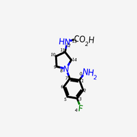 Nc1cc(F)ccc1N1CCC(NC(=O)O)C1